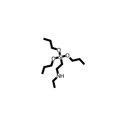 CCCO[Si](CCNCC)(OCCC)OCCC